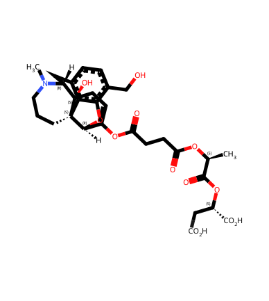 C[C@H](OC(=O)CCC(=O)OC1=CC[C@@]2(O)[C@H]3Cc4ccc(CO)c5c4[C@@]2(CCCN3C)[C@H]1O5)C(=O)O[C@@H](CC(=O)O)C(=O)O